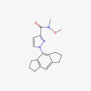 CON(C)C(=O)c1ccn(-c2c3c(cc4c2CCC4)CCC3)n1